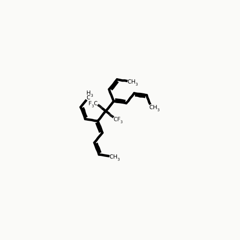 C\C=C/C=C(\C=C/C)C(C(/C=C\C)=C/C=C\C)(C(F)(F)F)C(F)(F)F